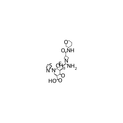 CC1/C(=C\C(F)=C(/N)N2CC(C(=O)NC3CCCOC3)C2)C(=O)C(C(=O)O)=CN1c1nccs1